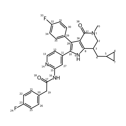 CN1CC(CC2CC2)c2[nH]c(-c3ccnc(NC(=O)Cc4ccc(F)cc4)c3)c(-c3ccc(F)cc3)c2C1=O